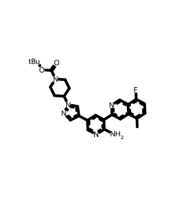 Cc1ccc(F)c2cnc(-c3cc(-c4cnn(C5CCN(C(=O)OC(C)(C)C)CC5)c4)cnc3N)cc12